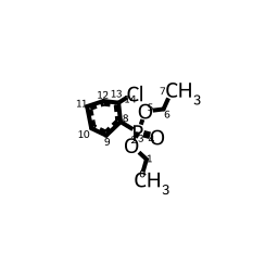 CCOP(=O)(OCC)c1ccccc1Cl